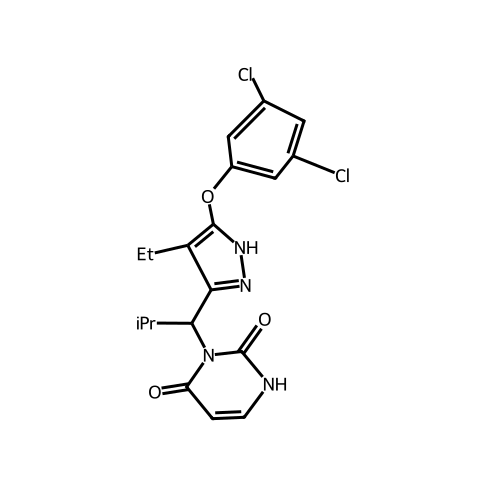 CCc1c(C(C(C)C)n2c(=O)cc[nH]c2=O)n[nH]c1Oc1cc(Cl)cc(Cl)c1